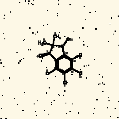 CC1(C)C(=O)c2c(Cl)c(Cl)c(Cl)c(Cl)c2[S+]1[O-]